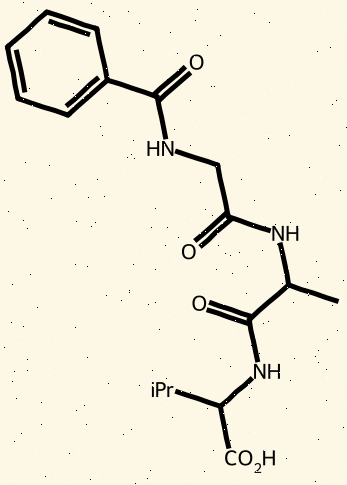 CC(NC(=O)CNC(=O)c1ccccc1)C(=O)NC(C(=O)O)C(C)C